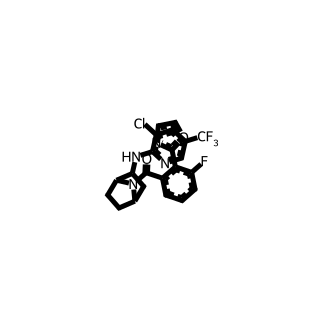 O=C(c1cccc(F)c1-c1ncco1)N1C2CCC1C(Nc1ncc(C(F)(F)F)cc1Cl)C2